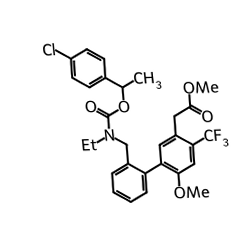 CCN(Cc1ccccc1-c1cc(CC(=O)OC)c(C(F)(F)F)cc1OC)C(=O)OC(C)c1ccc(Cl)cc1